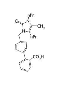 CCCc1c(C)n(CCC)c(=O)n1Cc1ccc(-c2ccccc2C(=O)O)cc1